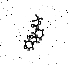 CC(C)(C)OC(=O)N1CCCC(O)(CN2CCOCC2)C1